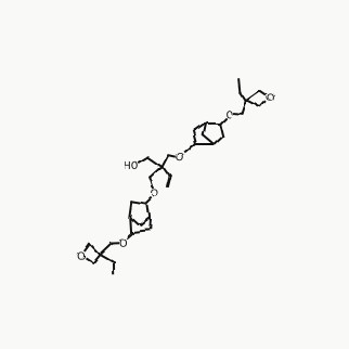 CCC1(COC2CC3CC2CC3OCC(CC)(CO)COC2CC3CC2CC3OCC2(CC)COC2)COC1